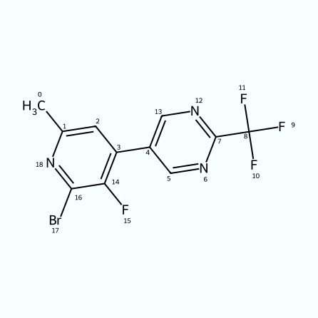 Cc1cc(-c2cnc(C(F)(F)F)nc2)c(F)c(Br)n1